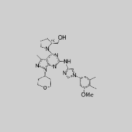 COc1cc(-n2cnc(Nc3nc(N4CCC[C@H]4CO)c4c(C)nn(C5CCOCC5)c4n3)c2)cc(C)c1C